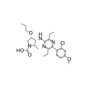 CCCO[C@H]1CN(C(=O)O)C(C)[C@H]1Nc1nc(CC)c(-c2ccc(OC)cc2Cl)nc1CC